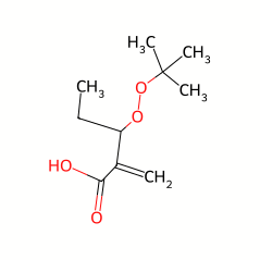 C=C(C(=O)O)C(CC)OOC(C)(C)C